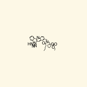 CCCCC(=O)N(Cc1ccc2nc(-c3ccccc3-c3nnn[nH]3)ccc2c1)CC1(OC(=O)OCC)CCCC1